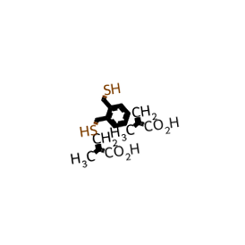 C=C(C)C(=O)O.C=C(C)C(=O)O.SCc1ccccc1CS